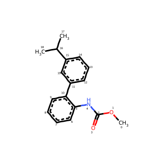 COC(=O)Nc1ccccc1-c1cccc(C(C)C)c1